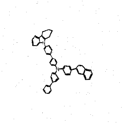 c1ccc(-c2ccc(N(c3ccc(-c4ccc(-n5c6c(c7ccccc75)CCCC6)cc4)cc3)c3ccc(-c4ccc5ccccc5c4)cc3)cc2)cc1